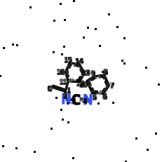 C=C(N=C=Nc1ccccc1)c1ccccc1